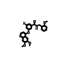 COc1ccccc1CNC(=O)c1cc(F)cc(Oc2ccnc3cc(OC)c(OC)cc23)c1